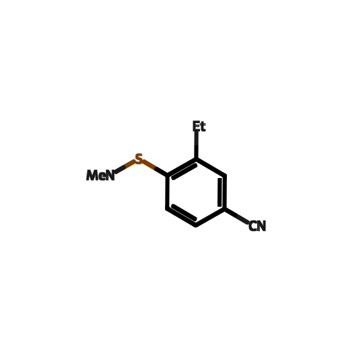 CCc1cc(C#N)ccc1SNC